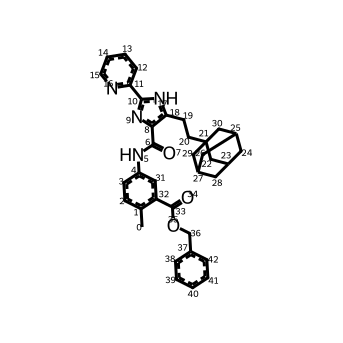 Cc1ccc(NC(=O)c2nc(-c3ccccn3)[nH]c2CCC23CC4CC(CC(C4)C2)C3)cc1C(=O)OCc1ccccc1